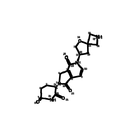 O=C1CC[C@H](N2Cc3c(ccn([C@H]4COC5(CNC5)C4)c3=O)C2=O)C(=O)N1